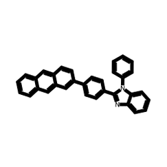 c1ccc(-n2c(-c3ccc(-c4ccc5cc6ccccc6cc5c4)cc3)nc3ccccc32)cc1